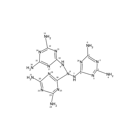 Nc1nc(N)nc(NN(Nc2nc(N)nc(N)n2)c2nc(N)nc(N)n2)n1